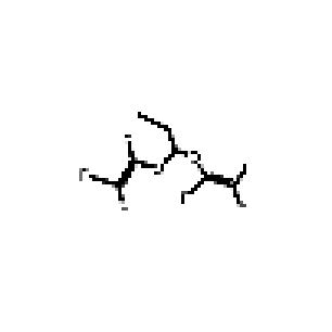 CCC(OC(F)=C(F)F)OC(F)=C(F)F